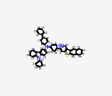 C1=C(c2ccc(N(c3ccc(-c4ccccc4)cc3)c3ccc4c(c3)c3ccccc3n4-c3ccccc3)cc2)NCc2c1sc1cc3ccccc3cc21